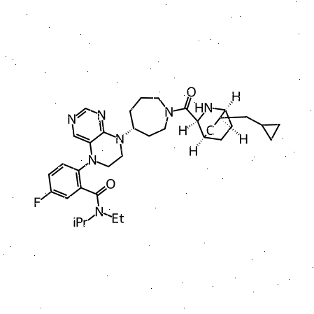 CCN(C(=O)c1cc(F)ccc1N1CCN([C@@H]2CCCN(C(=O)[C@H]3N[C@H]4CC[C@@H]3C[C@@H]4CC3CC3)CC2)c2ncncc21)C(C)C